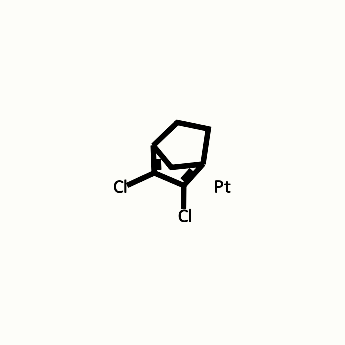 ClC1=C2CCC(=C1Cl)C2.[Pt]